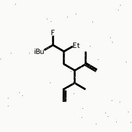 C=CC(C)C(CC(CC)C(F)C(C)CC)C(=C)C